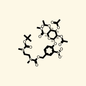 COC(=O)[C@H]1O[C@@H](Oc2ccc(COC(=O)N(C)CCN(C)C(=O)OC(C)(C)C)cc2[N+](=O)[O-])[C@H](OC(C)=O)[C@@H](OC(C)=O)[C@@H]1OC(C)=O